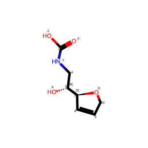 O=C(O)NC[C@@H](O)[C@@H]1C=CCO1